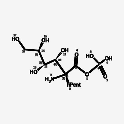 CCCCC[C@](N)(C(=O)OP(=O)(O)O)[C@@H](O)[C@H](O)[C@H](O)CO